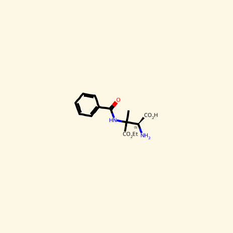 CCOC(=O)C(C)(NC(=O)c1ccccc1)[C@H](N)C(=O)O